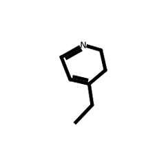 CCC1=CC=NCC1